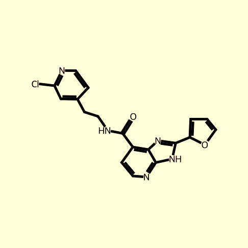 O=C(NCCc1ccnc(Cl)c1)c1ccnc2[nH]c(-c3ccco3)nc12